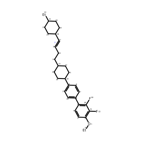 CCOc1ccc(-c2ccc(C3CCC(CC/C=C/C4CCC(CC)CC4)CC3)cc2)c(F)c1F